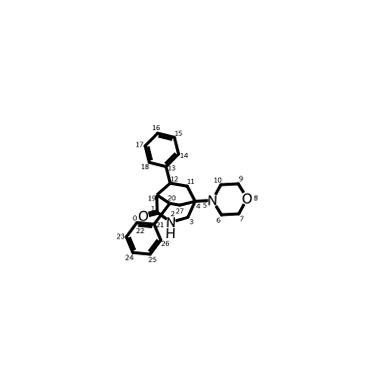 O=C1NCC2(N3CCOCC3)CC(c3ccccc3)C1C(c1ccccc1)C2